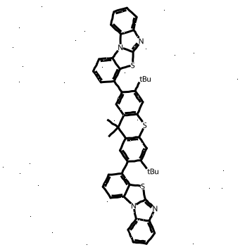 CC(C)(C)c1cc2c(cc1-c1cccc3c1sc1nc4ccccc4n13)C(C)(C)c1cc(-c3cccc4c3sc3nc5ccccc5n34)c(C(C)(C)C)cc1S2